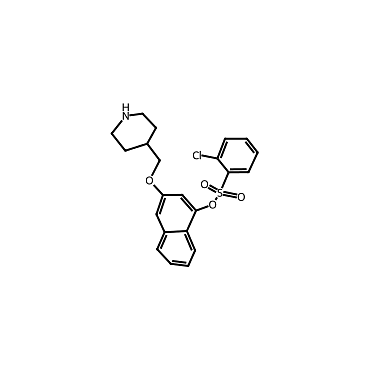 O=S(=O)(Oc1cc(OCC2CCNCC2)cc2ccccc12)c1ccccc1Cl